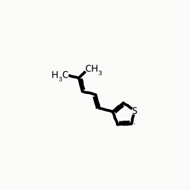 CC(C)=CC=Cc1c[c]sc1